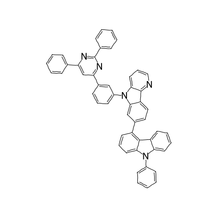 c1ccc(-c2cc(-c3cccc(-n4c5cc(-c6cccc7c6c6ccccc6n7-c6ccccc6)ccc5c5ncccc54)c3)nc(-c3ccccc3)n2)cc1